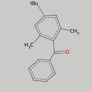 Cc1cc(C(C)(C)C)cc(C)c1C(=O)c1ccccc1